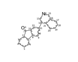 O=C1c2ccccc2-c2ccc(-c3cncc4ccccc34)cc21